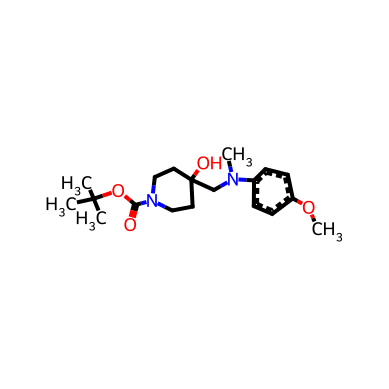 COc1ccc(N(C)CC2(O)CCN(C(=O)OC(C)(C)C)CC2)cc1